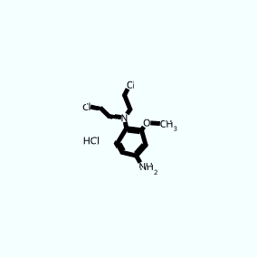 COc1cc(N)ccc1N(CCCl)CCCl.Cl